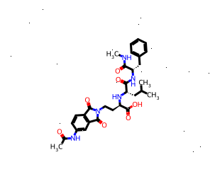 CNC(=O)[C@H](Cc1ccccc1)NC(=O)[C@H](CC(C)C)N[C@H](CCN1C(=O)c2ccc(NC(C)=O)cc2C1=O)C(=O)O